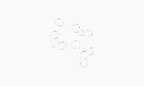 c1ccc(-c2ccc3ccc4ccc(-c5cc(-c6cc7ccccc7c7ccccc67)cc(-n6c7ccccc7c7ccccc76)c5)nc4c3n2)cc1